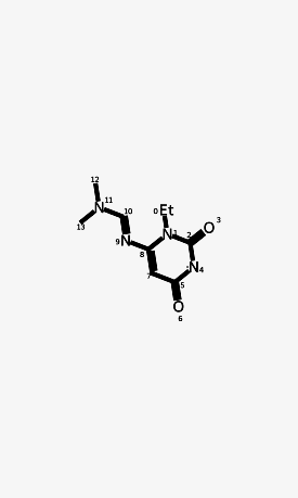 CCN1C(=O)[N]C(=O)C=C1N=CN(C)C